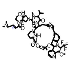 CO[C@@H](C)c1ncccc1-c1c2c3cc(ccc3n1CC(F)(F)F)-c1csc(n1)C[C@H](NC(=O)[C@H](C(C)C)N(C)C(=O)N1C[C@@H]3OCCN(C(=O)/C=C/CN(C)C)[C@@H]3C1)C(=O)N1CCC[C@H](N1)C(=O)OCC(C)(C)C2